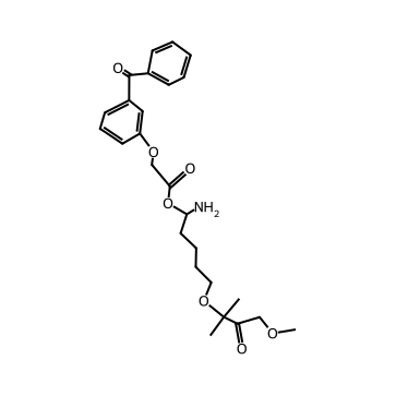 COCC(=O)C(C)(C)OCCCCC(N)OC(=O)COc1cccc(C(=O)c2ccccc2)c1